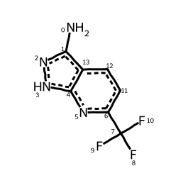 Nc1n[nH]c2nc(C(F)(F)F)ccc12